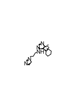 c1cn(CCCNc2ncnc3sc4c(c23)CCCC4)cn1